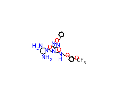 NC1CCC(N)CN(C(=O)CN(CC(=O)NCCOc2cccc(OC(F)(F)F)c2)c2cnc(OCc3ccccc3)nc2)C1